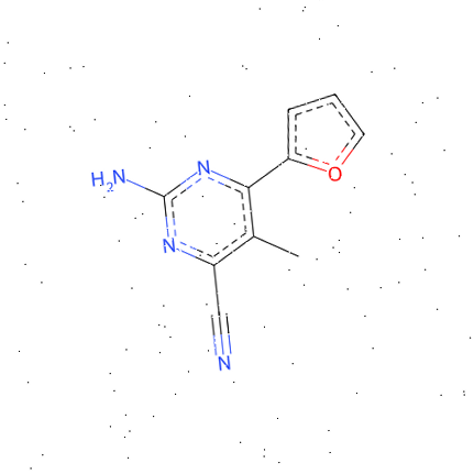 Cc1c(C#N)nc(N)nc1-c1ccco1